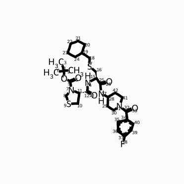 CC(C)(C)OC(=O)N1CSC[C@H]1C(=O)N[C@@H](CSCC1CCCCC1)C(=O)NC1CCN(C(=O)c2ccc(F)cc2)CC1